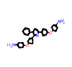 Nc1ccc(Oc2ccc(-c3ccc(-c4ccccc4)c(-c4ccc(Oc5ccc(N)cc5)cc4)n3)cc2)cc1